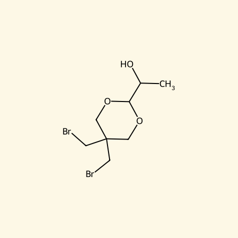 CC(O)C1OCC(CBr)(CBr)CO1